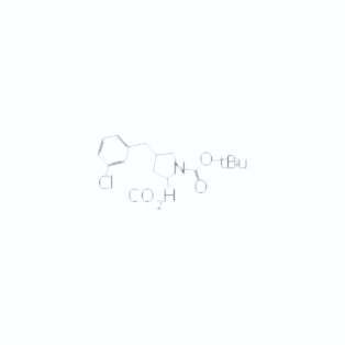 CC(C)(C)OC(=O)N1CC(Cc2cccc(Cl)c2)CC1C(=O)O